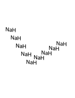 [NaH].[NaH].[NaH].[NaH].[NaH].[NaH].[NaH].[NaH].[NaH]